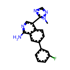 Cn1ncnc1-c1cnc(N)c2cc(-c3cccc(F)c3)ccc12